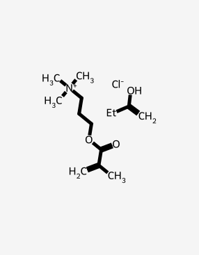 C=C(C)C(=O)OCCC[N+](C)(C)C.C=C(O)CC.[Cl-]